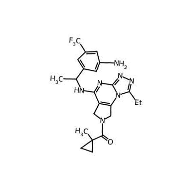 CCc1nnc2nc(NC(C)c3cc(N)cc(C(F)(F)F)c3)c3c(n12)CN(C(=O)C1(C)CC1)C3